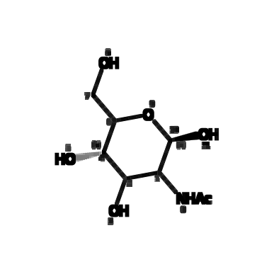 CC(=O)NC1C(O)[C@H](O)C(CO)O[C@H]1O